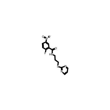 O=C(NCCCSc1ncccn1)c1cc([N+](=O)[O-])ccc1F